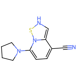 N#CC1=CC=C(N2CCCC2)N2SNC=C12